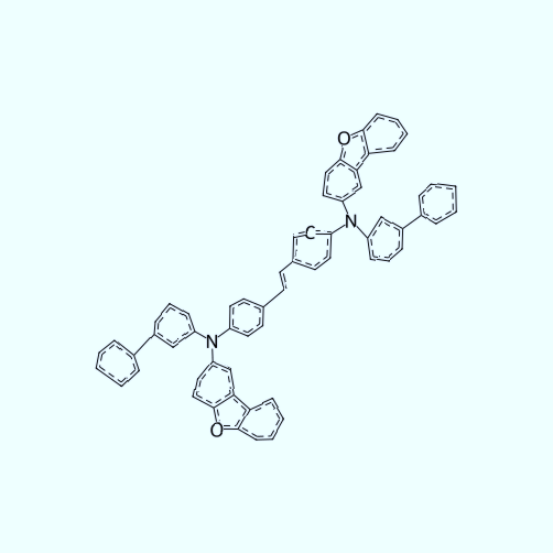 C(=C\c1ccc(N(c2cccc(-c3ccccc3)c2)c2ccc3oc4ccccc4c3c2)cc1)/c1ccc(N(c2cccc(-c3ccccc3)c2)c2ccc3oc4ccccc4c3c2)cc1